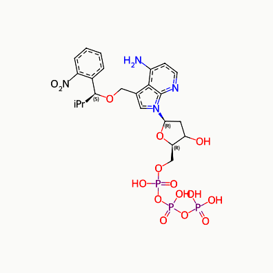 CC(C)[C@H](OCc1cn([C@H]2CC(O)[C@@H](COP(=O)(O)OP(=O)(O)OP(=O)(O)O)O2)c2nccc(N)c12)c1ccccc1[N+](=O)[O-]